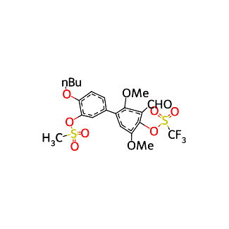 CCCCOc1ccc(-c2cc(OC)c(OS(=O)(=O)C(F)(F)F)c(C=O)c2OC)cc1OS(C)(=O)=O